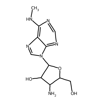 CNc1ncnc2c1ncn2C1OC(CO)C(N)C1O